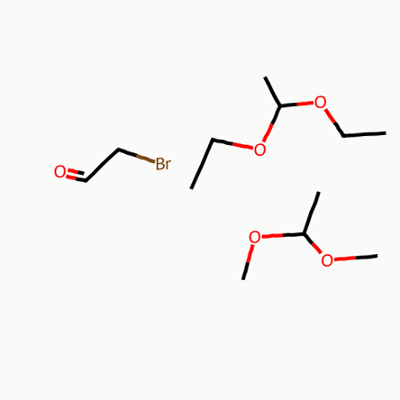 CCOC(C)OCC.COC(C)OC.O=CCBr